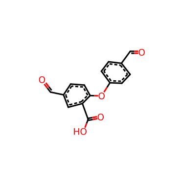 O=Cc1ccc(Oc2ccc(C=O)cc2C(=O)O)cc1